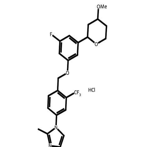 COC1CCOC(c2cc(F)cc(OCc3ccc(-n4ccnc4C)cc3C(F)(F)F)c2)C1.Cl